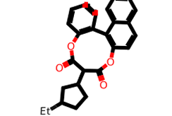 CCC1CCC(C2C(=O)Oc3ccc4ccccc4c3-c3c(ccc4ccccc34)OC2=O)C1